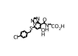 O=C(O)CNC(=O)c1c(O)cc(SCc2ccc(Cl)cc2)n2ncnc12